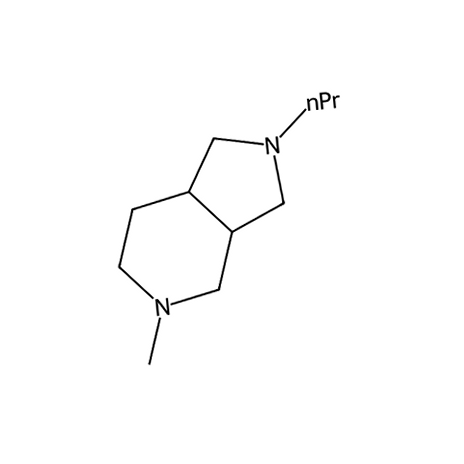 CCCN1CC2CCN(C)CC2C1